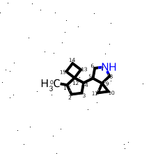 CC1CCC(C2CNCC23CC3)C12CCC2